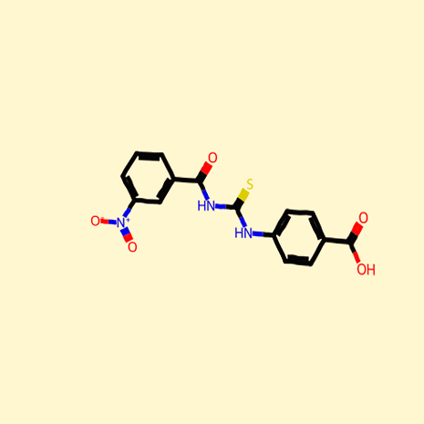 O=C(O)c1ccc(NC(=S)NC(=O)c2cccc([N+](=O)[O-])c2)cc1